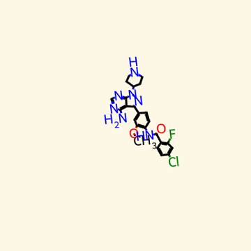 COc1cc(-c2nn(C3CCNCC3)c3ncnc(N)c23)ccc1NC(=O)c1ccc(Cl)cc1F